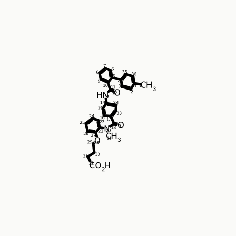 Cc1ccc(-c2ccccc2C(=O)Nc2ccc(C(=O)N(C)c3ccccc3OCCCC(=O)O)cc2)cc1